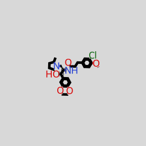 COc1ccc(CCC(=O)N[C@H](CN2CCCC2C)[C@H](O)c2ccc3c(c2)OCCO3)cc1Cl